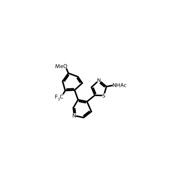 COc1ccc(-c2cnccc2-c2cnc(NC(C)=O)s2)c(C(F)(F)F)c1